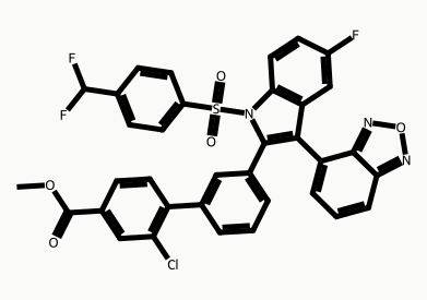 COC(=O)c1ccc(-c2cccc(-c3c(-c4cccc5nonc45)c4cc(F)ccc4n3S(=O)(=O)c3ccc(C(F)F)cc3)c2)c(Cl)c1